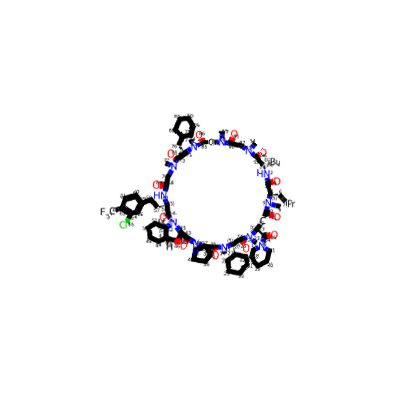 CC[C@H](C)[C@@H]1NC(=O)[C@H](CC(C)C)N(C)C(=O)C[C@@H](C(=O)N2CCCCC2)N(C)C(=O)[C@H](C2CCCCC2)N(C)C(=O)C2(CCCC2)NC(=O)[C@@H]2C[C@@H]3CCCC[C@@H]3N2C(=O)[C@H](CCc2ccc(C(F)(F)F)c(Cl)c2)NC(=O)CN(C)C(=O)[C@H](CC2CCCCC2)N(C)C(=O)CN(C)C(=O)CN(C)C1=O